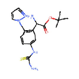 CC(C)(C)OC(=O)C(N)c1cc(NC(N)=S)ccc1-n1cccn1